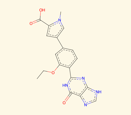 CCOc1cc(-c2cc(C(=O)O)n(C)c2)ccc1-c1nc2[nH]cnc2c(=O)[nH]1